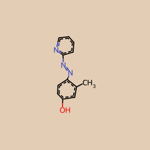 Cc1cc(O)ccc1/N=N/c1ccccn1